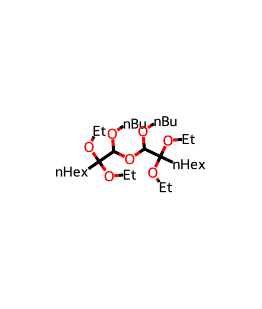 CCCCCCC(OCC)(OCC)C(OCCCC)OC(OCCCC)C(CCCCCC)(OCC)OCC